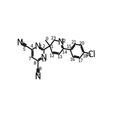 CC1(c2nc(C#N)cc(C#N)n2)C=CC(c2ccc(Cl)cc2)=NC1